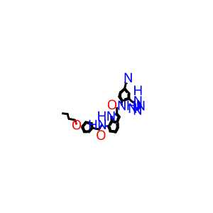 CCCCOc1ccc(C(=O)Nc2cccc3cc(C(=O)Nc4ccc(C#N)cc4-c4nnn[nH]4)[nH]c23)cc1